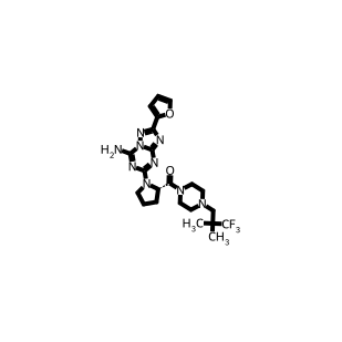 CC(C)(CN1CCN(C(=O)[C@@H]2CCCN2c2nc(N)n3nc(-c4ccco4)nc3n2)CC1)C(F)(F)F